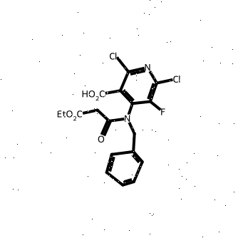 CCOC(=O)CC(=O)N(Cc1ccccc1)c1c(F)c(Cl)nc(Cl)c1C(=O)O